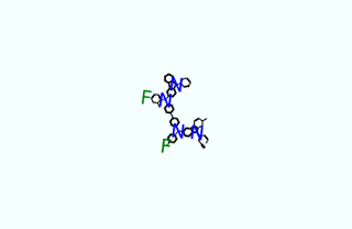 C#C/C=C(\C=C/C)n1c2c(c3cc(N(c4ccc(F)cc4)c4ccc(-c5ccc(N(C6=CC=C(F)CC6C)c6ccc7c(c6)c6ccccc6n7C6C=CC=CC6)cc5)cc4)ccc31)C=CC(C)C2